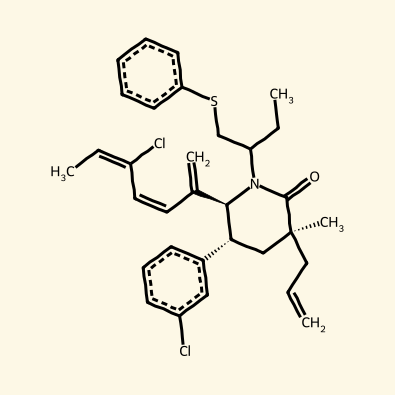 C=CC[C@@]1(C)C[C@H](c2cccc(Cl)c2)[C@@H](C(=C)/C=C\C(Cl)=C/C)N(C(CC)CSc2ccccc2)C1=O